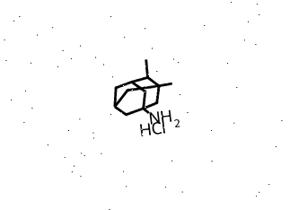 CC1C2CC3CC(N)(C2)CC1(C)C3.Cl